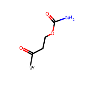 CC(C)C(=O)CCOC(N)=O